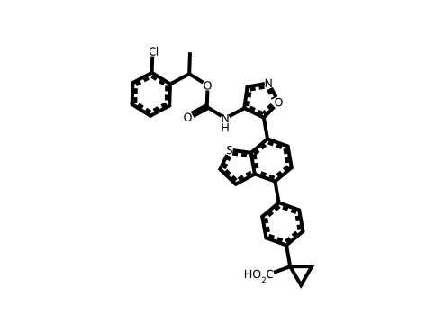 CC(OC(=O)Nc1cnoc1-c1ccc(-c2ccc(C3(C(=O)O)CC3)cc2)c2ccsc12)c1ccccc1Cl